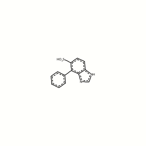 O=S(=O)(O)c1ccc2[nH]cnc2c1-c1ccccc1